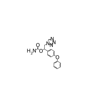 NC(=O)OC(Cn1cnnn1)c1ccc(Oc2ccccc2)cc1